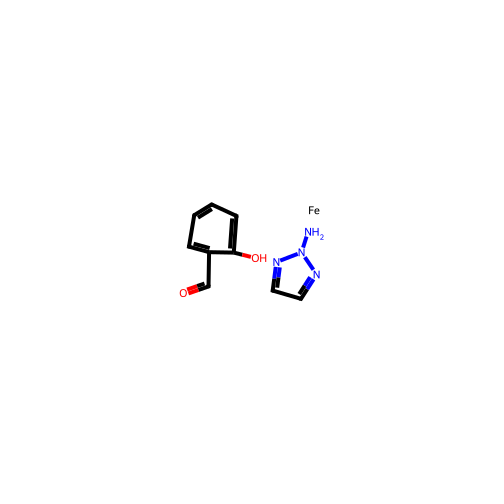 Nn1nccn1.O=Cc1ccccc1O.[Fe]